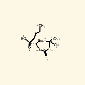 CCCCC(=O)O.CCCCCCCCC1(C#N)CCCSC(=S)S1